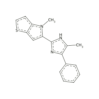 Cc1[nH]c(-c2cc3sccc3n2C)nc1-c1ccccc1